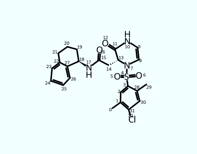 Cc1cc(S(=O)(=O)N2C=CNC(=O)[C@H]2CC(=O)N[C@@H]2CCCc3ccccc32)c(C)cc1Cl